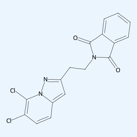 O=C1c2ccccc2C(=O)N1CCc1cc2ccc(Cl)c(Cl)n2n1